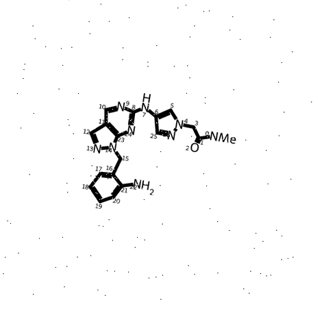 CNC(=O)Cn1cc(Nc2ncc3cnn(Cc4ccccc4N)c3n2)cn1